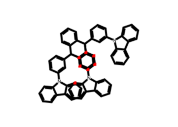 c1cc(-n2c3ccccc3c3ccccc32)cc(C23c4ccccc4C(c4cccc(-n5c6ccccc6c6ccccc65)c4)(c4ccccc42)c2cc(-n4c5ccccc5c5ccccc54)ccc23)c1